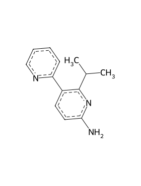 CC(C)c1nc(N)ccc1-c1ccccn1